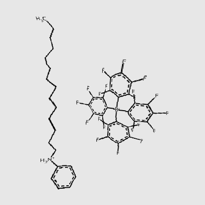 CCCCCCCCCCCCCC[NH2+]c1ccccc1.Fc1c(F)c(F)c([B-](c2c(F)c(F)c(F)c(F)c2F)(c2c(F)c(F)c(F)c(F)c2F)c2c(F)c(F)c(F)c(F)c2F)c(F)c1F